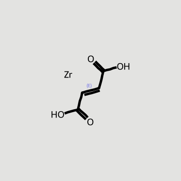 O=C(O)/C=C/C(=O)O.[Zr]